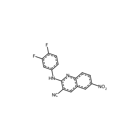 N#Cc1cc2cc([N+](=O)[O-])ccc2nc1Nc1ccc(F)c(F)c1